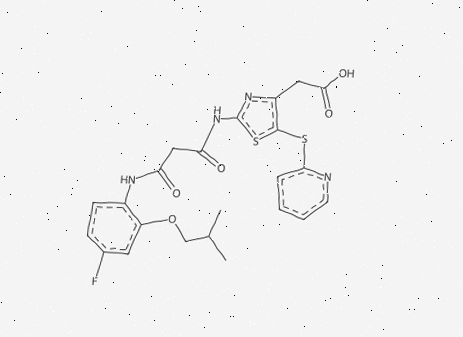 CC(C)COc1cc(F)ccc1NC(=O)CC(=O)Nc1nc(CC(=O)O)c(Sc2ccccn2)s1